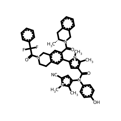 Cc1c(N(C(=O)c2cc(-c3cc4c(cc3C(=O)N3Cc5ccccc5C[C@H]3C)CN(C(=O)C(F)(F)c3ccccc3)CC4)n(C)c2C)c2ccc(O)cc2)cc(C#N)n1C